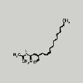 CCCCCCCCC/C=C\C/C(C=O)=C/C(=O)NC(C)C